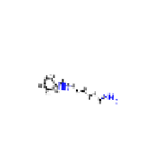 NCCCCCCNCc1ccccc1